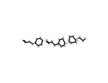 C=CCC[C@H]1CC[C@H](/C=C/CCC2CCC([C@H]3CC[C@H](CCC)CC3)CC2)CC1